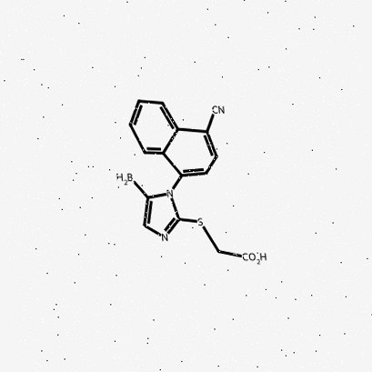 Bc1cnc(SCC(=O)O)n1-c1ccc(C#N)c2ccccc12